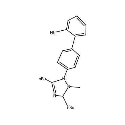 CCCCC1=NC(CCCC)N(C)N1c1ccc(-c2ccccc2C#N)cc1